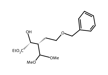 CCOC(=O)[C@H](O)[C@H](CCOCc1ccccc1)C(OC)OC